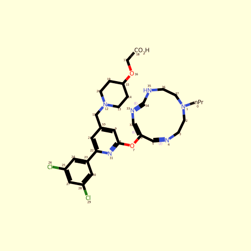 CCCN1CC\N=C/C(Oc2cc(CN3CCC(OCC(=O)O)CC3)cc(-c3cc(Cl)cc(Cl)c3)n2)=C\N=C\NCC1